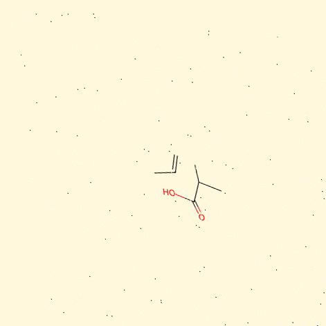 C=CC.CC(C)C(=O)O